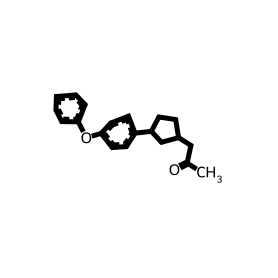 CC(=O)CC1CCC(c2ccc(Oc3ccccc3)cc2)C1